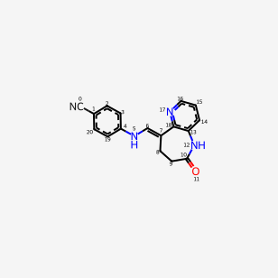 N#Cc1ccc(N/C=C2\CCC(=O)Nc3cccnc32)cc1